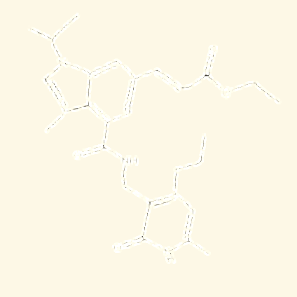 CCCc1cc(C)[nH]c(=O)c1CNC(=O)c1cc(/C=C/C(=O)OCC)cc2c1c(C)cn2C(C)C